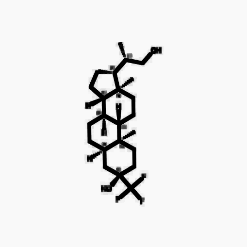 C[C@H](CO)[C@H]1CC[C@H]2[C@@H]3CC[C@@H]4C[C@@](O)(C(F)(F)F)CC[C@]4(C)[C@H]3CC[C@]12C